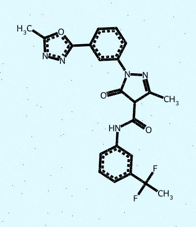 CC1=NN(c2cccc(-c3nnc(C)o3)c2)C(=O)C1C(=O)Nc1cccc(C(C)(F)F)c1